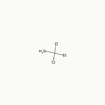 CCC([SiH3])(Cl)Cl